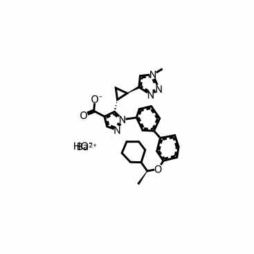 C[C@H](Oc1cccc(-c2cccc(-n3ncc(C(=O)[O-])c3[C@@H]3C[C@H]3c3cn(C)nn3)c2)c1)C1CCCCC1.[Ba+2].[OH-]